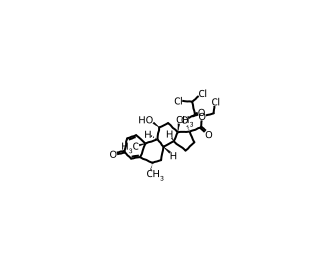 C[C@H]1C[C@@H]2[C@H]([C@@H](O)C[C@@]3(C)[C@H]2CC[C@]3(OC(=O)C(Cl)Cl)C(=O)OCCl)[C@@]2(C)C=CC(=O)C=C12